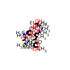 CC[C@@H](O)[C@](C)(O)[C@H](O)[C@@H](C)N(C)C[C@H](C)C[C@@](C)(O)[C@H](O[C@@H]1O[C@H](C)C[C@H](N(C)C)[C@H]1OC(=O)[C@@H]1CSC(C)(C)N1C(C)=O)[C@@H](C)[C@H](O[C@H]1C[C@@](C)(OC)[C@@H](O)[C@H](C)O1)[C@@H](C)C=O